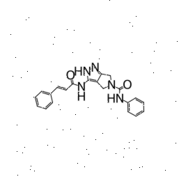 O=C(C=Cc1ccccc1)Nc1[nH]nc2c1CN(C(=O)Nc1ccccc1)C2